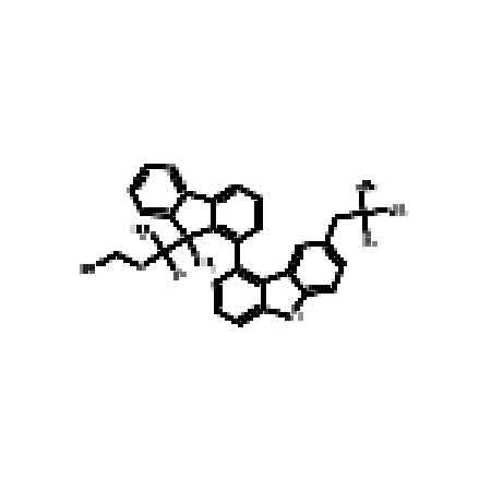 CCCCC(C)(CC)Cc1ccc2[nH]c3cccc(-c4cccc5c4C(C)(C(C)(CC)CCC(C)C)c4ccccc4-5)c3c2c1